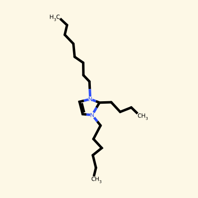 CCCCCCCCN1C=CN(CCCCCC)C1CCCC